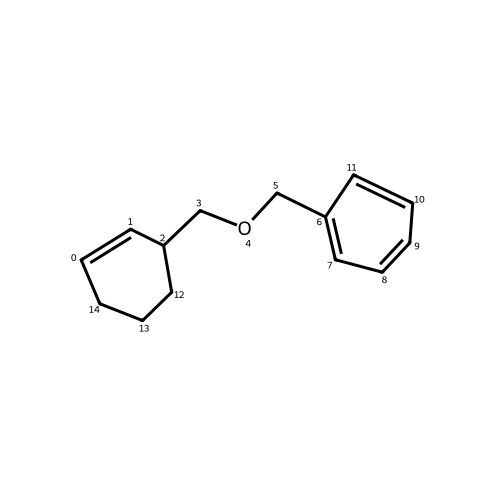 C1=CC(COCc2ccccc2)CCC1